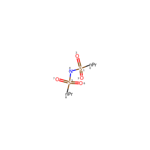 CCCS(=O)(=O)[N]S(=O)(=O)CCC